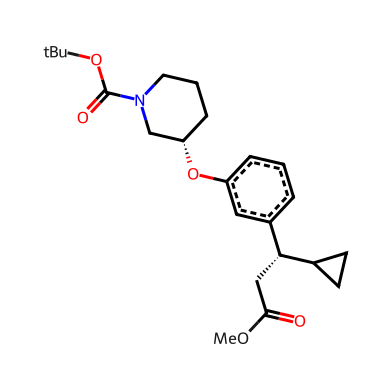 COC(=O)C[C@H](c1cccc(O[C@H]2CCCN(C(=O)OC(C)(C)C)C2)c1)C1CC1